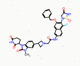 Cn1c(=O)n(C2CCC(=O)NC2=O)c2ccc(C3CN(CC(=O)Nc4ccc5c(F)c(N6CC(=O)N[S+]6[O-])c(OCc6ccccc6)cc5c4)C3)cc21